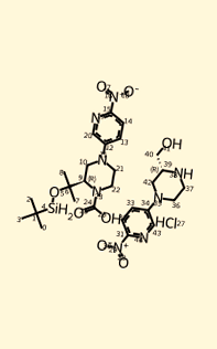 CC(C)(C)[SiH2]OC(C)(C)[C@H]1CN(c2ccc([N+](=O)[O-])nc2)CCN1C(=O)O.Cl.O=[N+]([O-])c1ccc(N2CCN[C@@H](CO)C2)cn1